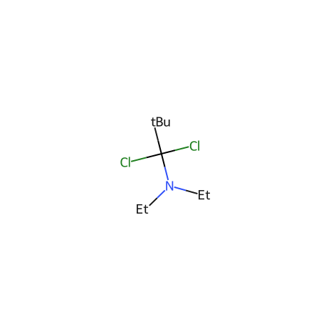 CCN(CC)C(Cl)(Cl)C(C)(C)C